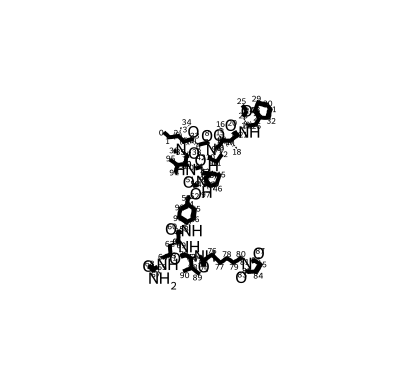 CC[C@H](C)[C@@H]([C@@H](CC(=O)N1CCC[C@H]1[C@H](OC)[C@@H](C)C(=O)N[C@H](COC)Cc1ccccc1)OC)N(C)C(=O)[C@@H](NC(=O)[C@@H]1[C@H]2CC[C@H](C2)N1C(=O)OCc1ccc(NC(=O)[C@H](CCCNC(N)=O)NC(=O)[C@@H](NC(=O)CCCCCN2C(=O)C=CC2=O)C(C)C)cc1)C(C)C